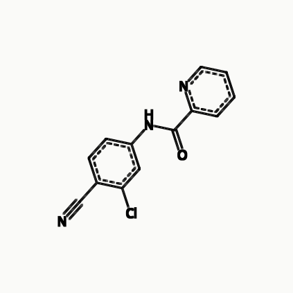 N#Cc1ccc(NC(=O)c2ccccn2)cc1Cl